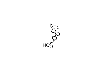 NCC1CCC(C(=O)c2ccc(CCC(=O)O)cc2)CC1